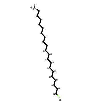 CCCCCCCCCCCCCCCCCCCC[CH]F